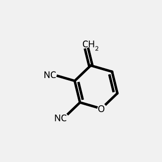 C=C1C=COC(C#N)=C1C#N